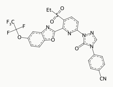 CCS(=O)(=O)c1ccc(-n2ncn(-c3ccc(C#N)cc3)c2=O)nc1-c1nc2cc(OC(F)(F)C(F)(F)F)ccc2o1